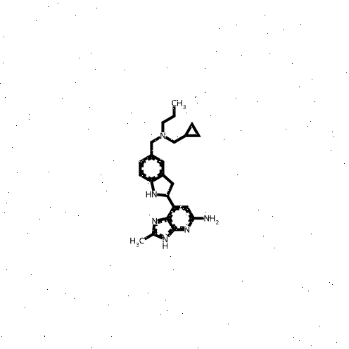 CCCN(Cc1ccc2c(c1)CC(c1cc(N)nc3[nH]c(C)nc13)N2)CC1CC1